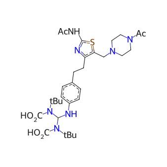 CC(=O)Nc1nc(CCc2ccc(NC(N(C(=O)O)C(C)(C)C)N(C(=O)O)C(C)(C)C)cc2)c(CN2CCN(C(C)=O)CC2)s1